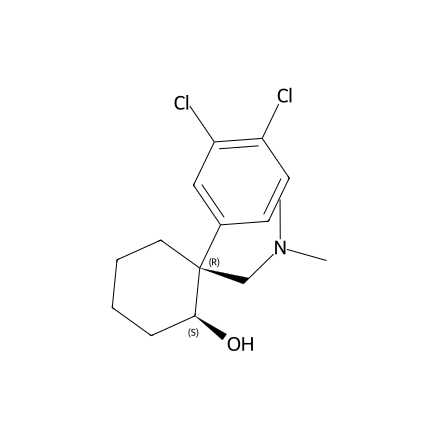 CN(C)C[C@]1(c2ccc(Cl)c(Cl)c2)CCCC[C@@H]1O